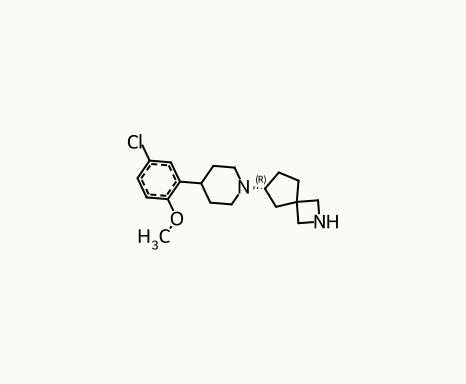 COc1ccc(Cl)cc1C1CCN([C@@H]2CCC3(CNC3)C2)CC1